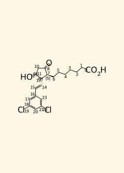 O=C(O)CCCCCC[C@@H]1C(=O)C[C@@H](O)[C@H]1C=Cc1cc(Cl)cc(Cl)c1